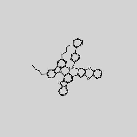 CCCCc1ccc2c(c1)c1cc(CCCC)cc3c1n2-c1c2c(cc4c1oc1ccccc14)-c1cc4c(cc1N(c1ccc(-c5ccccc5)cc1)B23)Oc1ccccc1O4